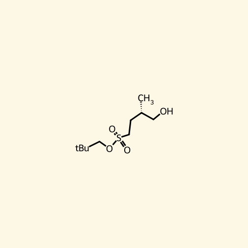 C[C@H](CO)CCS(=O)(=O)OCC(C)(C)C